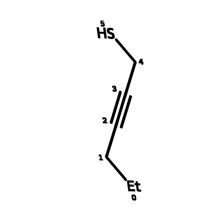 CCCC#CCS